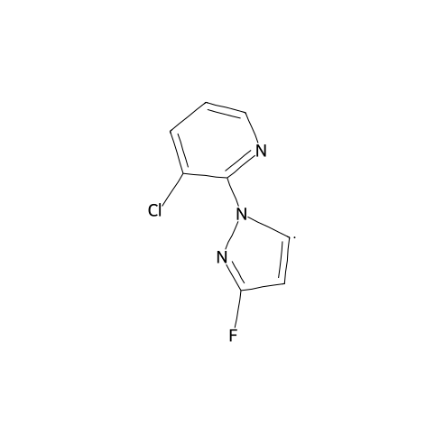 Fc1c[c]n(-c2ncccc2Cl)n1